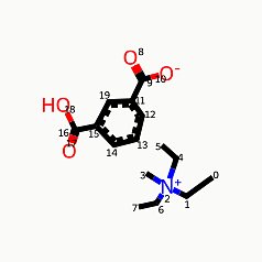 CC[N+](C)(CC)CC.O=C([O-])c1cccc(C(=O)O)c1